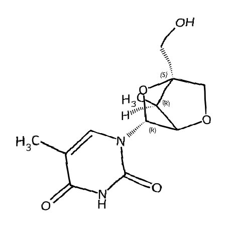 Cc1cn([C@@H]2O[C@@]3(CO)COC2[C@H]3C)c(=O)[nH]c1=O